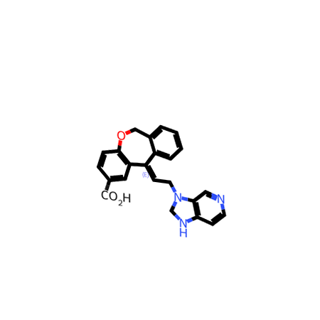 O=C(O)c1ccc2c(c1)/C(=C/CN1CNc3ccncc31)c1ccccc1CO2